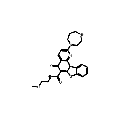 COCCNC(=O)c1c(=O)c2ccc(N3CCCNCC3)nc2n2c1sc1ccccc12